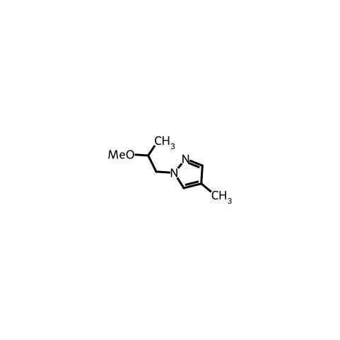 COC(C)Cn1cc(C)cn1